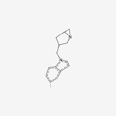 Cc1ccc2c(ccn2CC2CC3CN3C2)c1